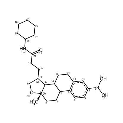 C[C@]12CCC3c4ccc(B(O)O)cc4CCC3C1[C@H](CCC(=O)NC1CCCCC1)CO2